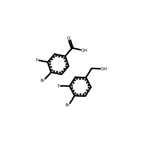 O=C(O)c1ccc(Br)c(F)c1.OCc1ccc(Br)c(F)c1